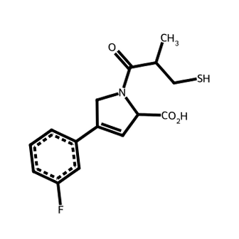 CC(CS)C(=O)N1CC(c2cccc(F)c2)=CC1C(=O)O